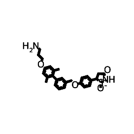 Cc1cc(OCCCN)cc(C)c1-c1cccc(COc2ccc(C3CC(=O)N[S+]3[O-])cc2)c1